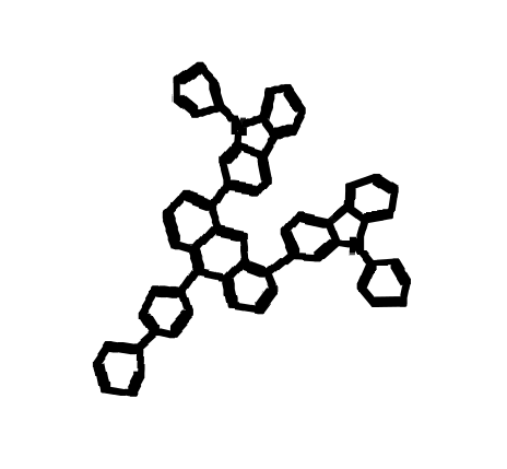 c1ccc(-c2ccc(-c3c4cccc(-c5ccc6c7ccccc7n(-c7ccccc7)c6c5)c4cc4c(-c5ccc6c7ccccc7n(-c7ccccc7)c6c5)cccc34)cc2)cc1